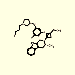 C[C@H]1Cc2c([nH]c3ccccc23)[C@H](c2c(F)cc(N[C@H]3CCN(CCCF)C3)cc2F)N1C12CC(CO)(C1)C2